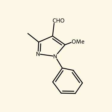 COc1c(C=O)c(C)nn1-c1ccccc1